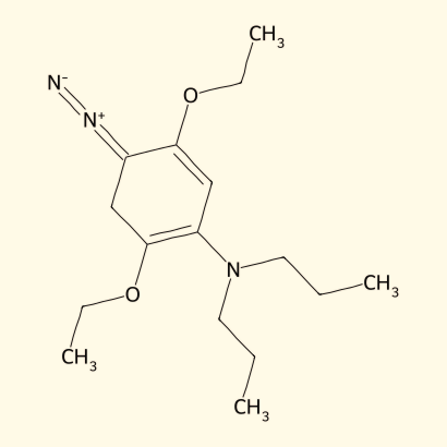 CCCN(CCC)C1=C(OCC)CC(=[N+]=[N-])C(OCC)=C1